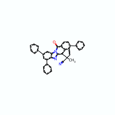 CC1(C#N)C=c2c(-c3ccccc3)ccc3c(=O)n4c(nc5c(-c6ccccc6)cc(-c6ccccc6)cc54)c1c23